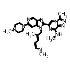 C=N/C=C\C=C(/C)Cn1c(-c2cn3c(C)nnc3c(NC)n2)nc2cnc(N3CCN(C)CC3)cc21